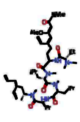 C=C/C=C(\C=C)C[C@@H](C)N(C)C(=O)C(NC(=O)[C@H](CC(C)C)N(C)C(=O)[C@H](CC(C)C)N(C)C(=O)C(CC/C(C=C)=C/C(=C/C(=O)NC)OC)NC(=O)[C@H](CC)N(C)C)C(C)C